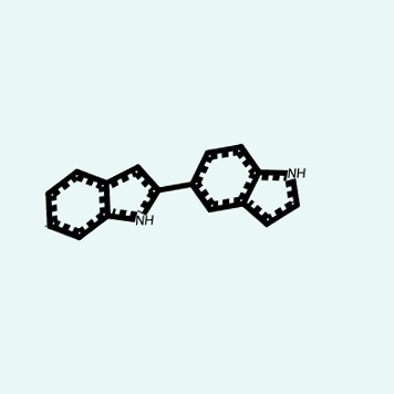 [c]1ccc2cc(-c3ccc4[nH]ccc4c3)[nH]c2c1